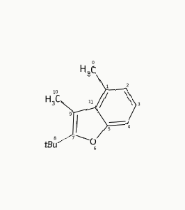 Cc1cccc2oc(C(C)(C)C)c(C)c12